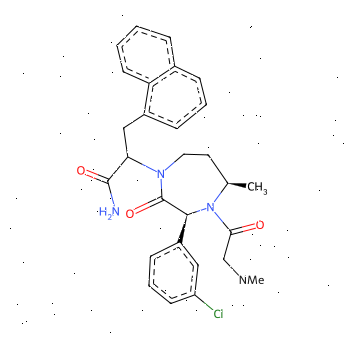 CNCC(=O)N1[C@H](C)CCN(C(Cc2cccc3ccccc23)C(N)=O)C(=O)[C@@H]1c1cccc(Cl)c1